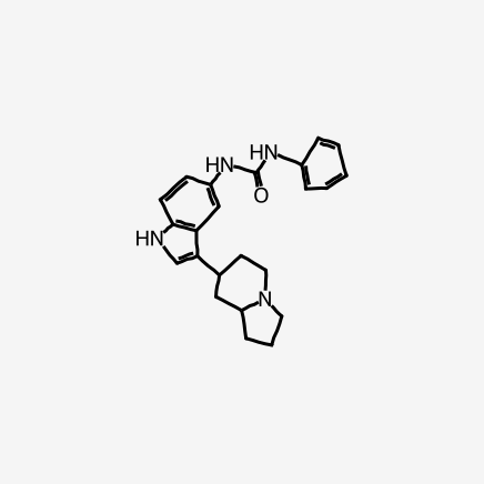 O=C(Nc1ccccc1)Nc1ccc2[nH]cc(C3CCN4CCCC4C3)c2c1